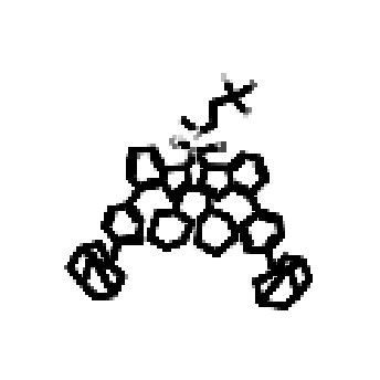 C[SiH](CCC(F)(F)F)[Zr]([Cl])([Cl])([CH]1C(CC2CCCCC2)=Cc2c(-c3ccc(C45CC6CC(CC(C6)C4)C5)cc3)cccc21)[CH]1C(CC2CCCCC2)=Cc2c(-c3ccc(C45CC6CC(CC(C6)C4)C5)cc3)cccc21